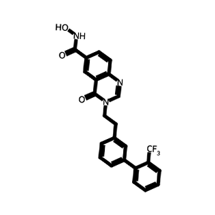 O=C(NO)c1ccc2ncn(CCc3cccc(-c4ccccc4C(F)(F)F)c3)c(=O)c2c1